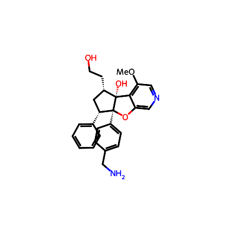 COc1cncc2c1[C@]1(O)[C@@H](CCO)C[C@@H](c3ccccc3)[C@]1(c1ccc(CN)cc1)O2